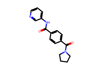 O=C(Nc1cccnc1)c1ccc(C(=O)N2CCCC2)cc1